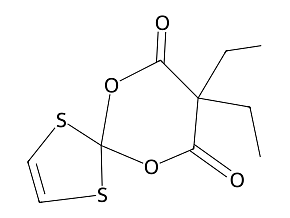 CCC1(CC)C(=O)OC2(OC1=O)SC=CS2